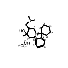 CN(C)CC1CN(C2(c3ccccc3)CCCCC2)CCC1(C)O.Cl.Cl